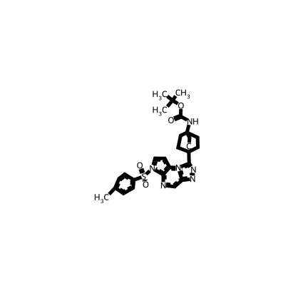 Cc1ccc(S(=O)(=O)n2ccc3c2ncc2nnc(C45CCC(NC(=O)OC(C)(C)C)(CC4)CC5)n23)cc1